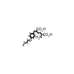 N[C@H](CCC(Cc1ccc(OCCSI)cc1)C(=O)O)C(=O)O